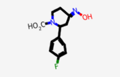 O=C(O)N1CC/C(=N/O)CC1c1ccc(F)cc1